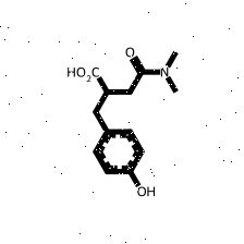 CN(C)C(=O)CC(Cc1ccc(O)cc1)C(=O)O